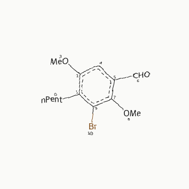 CCCCCc1c(OC)cc(C=O)c(OC)c1Br